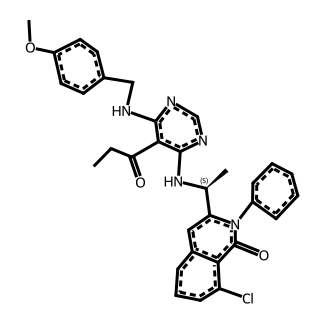 CCC(=O)c1c(NCc2ccc(OC)cc2)ncnc1N[C@@H](C)c1cc2cccc(Cl)c2c(=O)n1-c1ccccc1